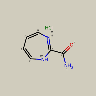 Cl.NC(=O)C1=NC=CC=CN1